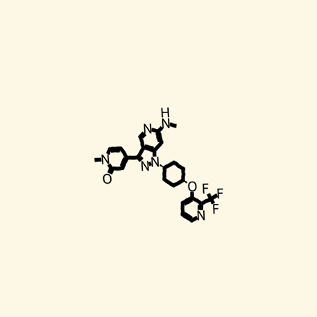 CNc1cc2c(cn1)c(-c1ccn(C)c(=O)c1)nn2[C@H]1CC[C@@H](Oc2cccnc2C(F)(F)F)CC1